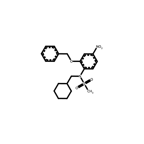 CS(=O)(=O)N(CC1CCCCC1)c1ccc([N+](=O)[O-])cc1OCc1ccccc1